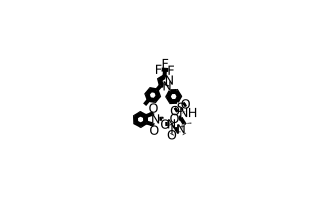 Cc1ccc(-c2cc(C(F)(F)F)nn2-c2ccc(S(=O)(=O)NC(=O)[C@H](C)N(C)[N+]([O-])=NOCN3C(=O)c4ccccc4C3=O)cc2)cc1